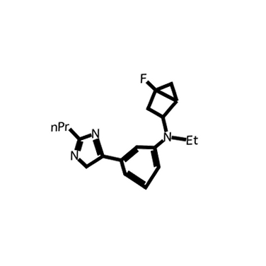 CCCC1=NCC(c2cccc(N(CC)C3CC4(F)CC34)c2)=N1